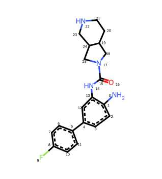 Nc1ccc(-c2ccc(F)cc2)cc1NC(=O)N1CC2CCNCC2C1